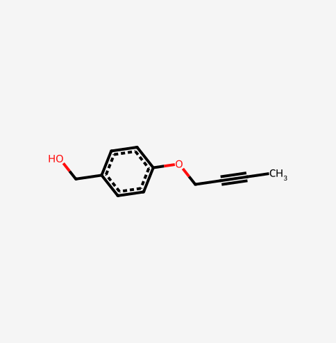 CC#CCOc1ccc(CO)cc1